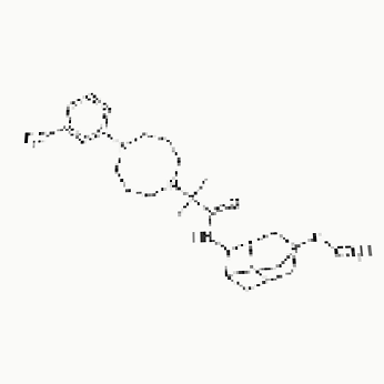 CC(C)(C(=O)NC1C2CC3CC1CC(OC(=O)O)(C3)C2)N1CCCN(c2cccc(C(F)(F)F)c2)CCC1